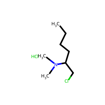 CCCCC(CCl)N(C)C.Cl